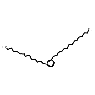 CCCCCCCCCCCCCCCc1ccc[n+](CCCCCCCCCCCCCC)c1